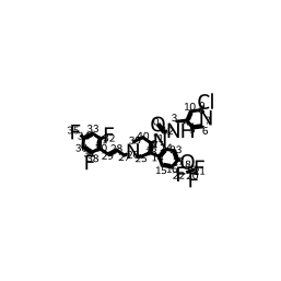 O=C(NCc1ccnc(Cl)c1)n1c2c(c3ccc(OC(F)(F)F)cc31)CN(CC=Cc1c(F)cc(F)cc1F)CC2